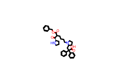 O=C(OCc1ccccc1)C(CCCCN1CCCC1CC(C(=O)O)(c1ccccc1)c1ccccc1)C(=O)[C@H]1CCCN1